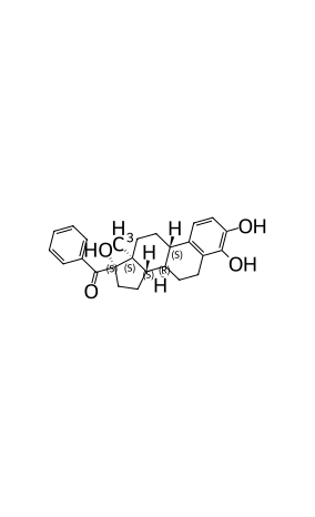 C[C@]12CC[C@@H]3c4ccc(O)c(O)c4CC[C@H]3[C@@H]1CC[C@@]2(O)C(=O)c1ccccc1